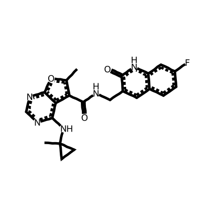 Cc1oc2ncnc(NC3(C)CC3)c2c1C(=O)NCc1cc2ccc(F)cc2[nH]c1=O